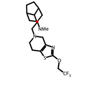 CNC1CC2CCC(C1)C2CCN1CCc2sc(OCC(F)(F)F)nc2C1